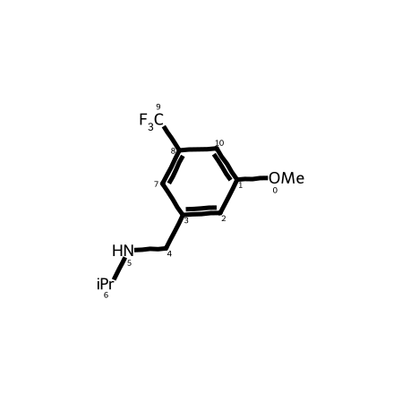 COc1cc(CNC(C)C)cc(C(F)(F)F)c1